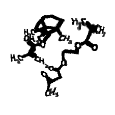 C=C(C)C(=O)OC1CC2CCC1(C)C2(C)C.C=C(C)C(=O)OCCOC(=O)CC(C)=O